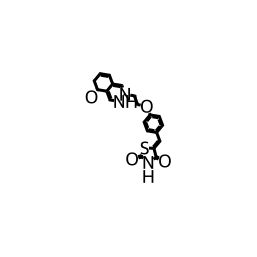 O=C1NC(=O)C(=Cc2ccc(OCCN3C=C4C=CCC(=O)C4=CN3)cc2)S1